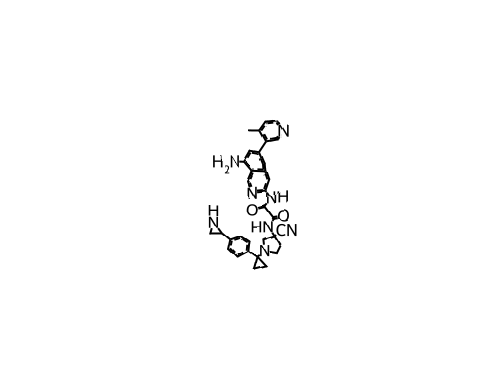 Cc1ccncc1-c1cc(N)c2cnc(NC(=O)C(=O)NC3(C#N)CCN(C4(c5ccc(C6CN6)cc5)CC4)C3)cc2c1